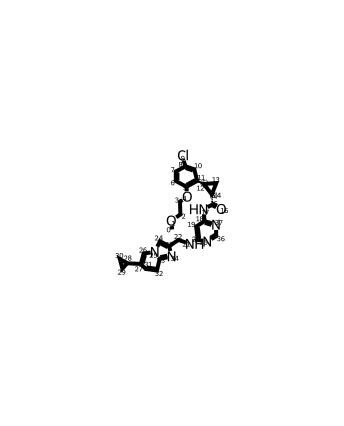 COCCOc1ccc(Cl)cc1[C@H]1C[C@@H]1C(=O)Nc1cc(NCc2cn3cc(C4CC4)ccc3n2)ncn1